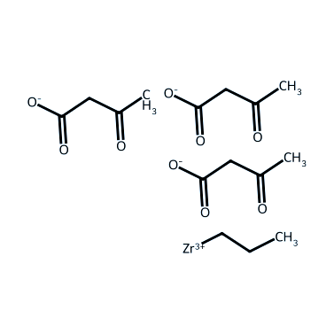 CC(=O)CC(=O)[O-].CC(=O)CC(=O)[O-].CC(=O)CC(=O)[O-].CC[CH2][Zr+3]